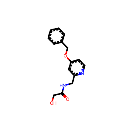 O=C(CO)NCc1cc(OCc2ccccc2)ccn1